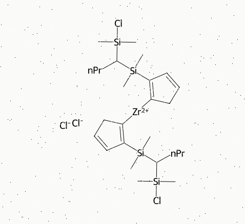 CCCC([Si](C)(C)Cl)[Si](C)(C)C1=[C]([Zr+2][C]2=C([Si](C)(C)C(CCC)[Si](C)(C)Cl)C=CC2)CC=C1.[Cl-].[Cl-]